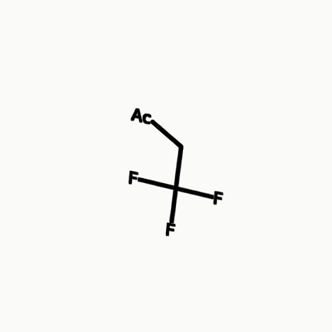 [CH2]C(=O)CC(F)(F)F